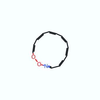 c1ccccccnoocccccc1